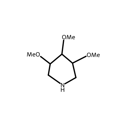 COC1CNCC(OC)C1OC